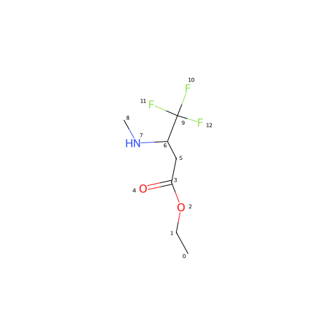 CCOC(=O)CC(NC)C(F)(F)F